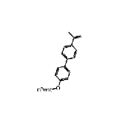 C=C(C)c1ccc(-c2ccc(OCCCCC)cc2)cc1